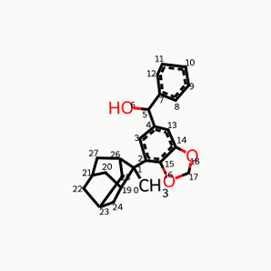 CC1(c2cc(C(O)c3ccccc3)cc3c2OCO3)C2CC3CC(C2)CC1C3